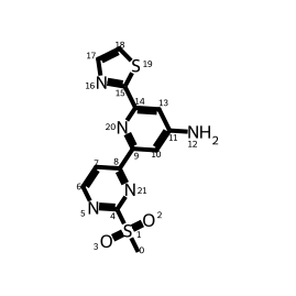 CS(=O)(=O)c1nccc(-c2cc(N)cc(-c3nccs3)n2)n1